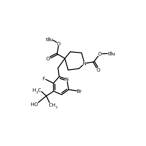 CC(C)(C)OC(=O)N1CCC(Cc2nc(Br)cc(C(C)(C)O)c2F)(C(=O)OC(C)(C)C)CC1